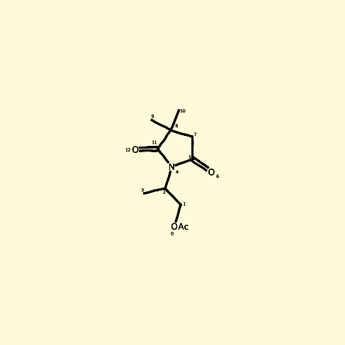 CC(=O)OCC(C)N1C(=O)CC(C)(C)C1=O